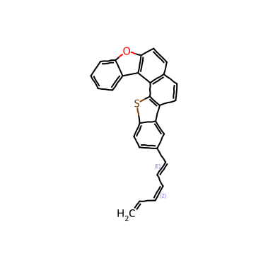 C=C/C=C\C=C\c1ccc2sc3c(ccc4ccc5oc6ccccc6c5c43)c2c1